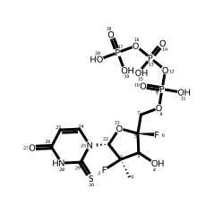 C[C@@]1(F)C(O)[C@@](F)(COP(=O)(O)OP(=O)(O)OP(=O)(O)O)O[C@H]1n1ccc(=O)[nH]c1=S